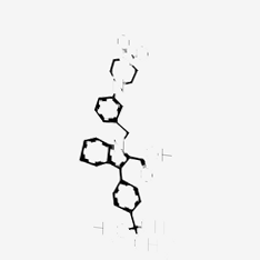 CC(C)(C)c1ccc(-c2c(C(=O)O)n(Cc3cccc(N4CCS(=O)(=O)CC4)c3)c3ccccc23)cc1